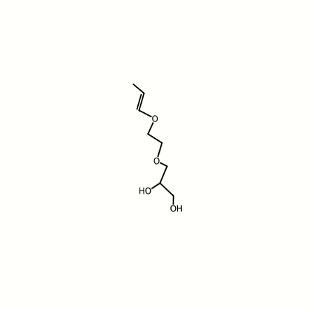 CC=COCCOCC(O)CO